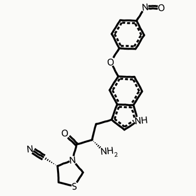 N#C[C@H]1CSCN1C(=O)[C@@H](N)Cc1c[nH]c2ccc(Oc3ccc(N=O)cc3)cc12